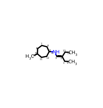 CCC(=CNC1CCCC(C)CC1)CC